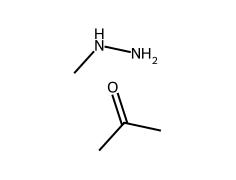 CC(C)=O.CNN